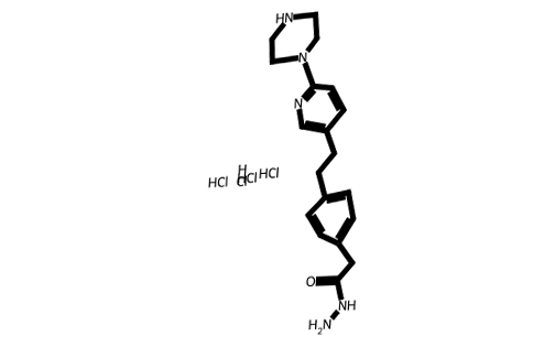 Cl.Cl.Cl.Cl.NNC(=O)Cc1ccc(CCc2ccc(N3CCNCC3)nc2)cc1